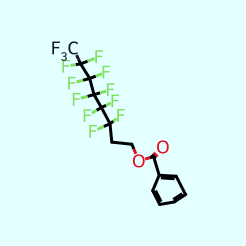 O=C(OCCC(F)(F)C(F)(F)C(F)(F)C(F)(F)C(F)(F)C(F)(F)F)c1ccccc1